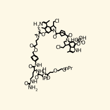 CCCOCCOCCC(=O)NC(C(=O)NC(CCCNC(N)=O)C(=O)Nc1ccc(COC(=O)CCCN(C)C(=S)Oc2cc3c(c(/C(C)=C\N)c2C)C(CCl)CN3C(=O)C23CCC(C(=O)N4CC(CCl)c5c4cc(OP(=O)(O)O)c4[nH]cc(C)c54)(C2)C3)cc1)C(C)C